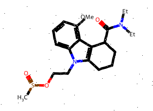 CCN(CC)C(=O)C1CCCc2c1c1c(OC)cccc1n2CCOS(C)=O